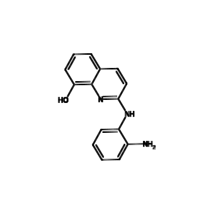 Nc1ccccc1Nc1ccc2cccc(O)c2n1